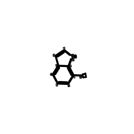 Clc1cccc2cc[te]c12